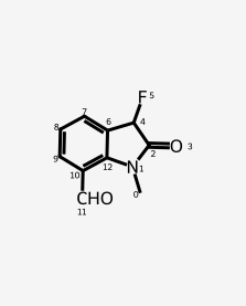 CN1C(=O)C(F)c2cccc(C=O)c21